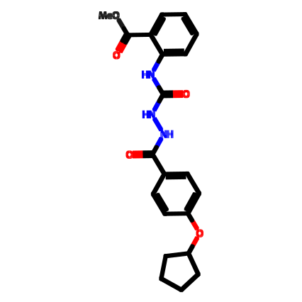 COC(=O)c1ccccc1NC(=O)NNC(=O)c1ccc(OC2CCCC2)cc1